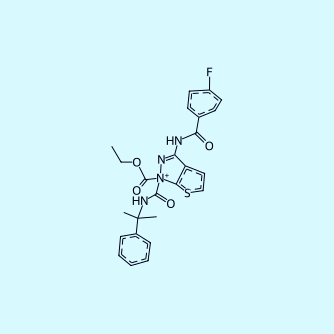 CCOC(=O)[N+]1(C(=O)NC(C)(C)c2ccccc2)N=C(NC(=O)c2ccc(F)cc2)c2ccsc21